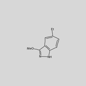 CCc1ccc2[nH]nc(OC)c2c1